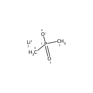 CP(C)(=O)[O-].[Li+]